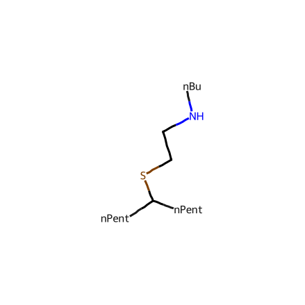 CCCCCC(CCCCC)SCCNCCCC